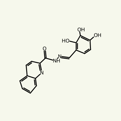 O=C(NN=Cc1ccc(O)c(O)c1O)c1ccc2ccccc2n1